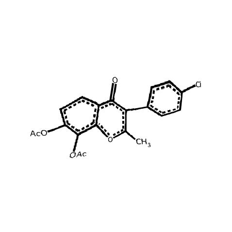 CC(=O)Oc1ccc2c(=O)c(-c3ccc(Cl)cc3)c(C)oc2c1OC(C)=O